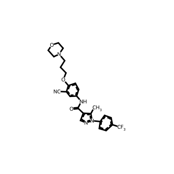 Cc1c(C(=O)Nc2ccc(OCCCN3CCOCC3)c(C#N)c2)cnn1-c1ccc(C(F)(F)F)cc1